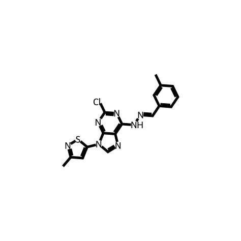 Cc1cccc(C=NNc2nc(Cl)nc3c2ncn3-c2cc(C)ns2)c1